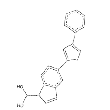 OC(O)C1C=Cc2cc(C3=CC(c4ccccc4)=CC3)ccc21